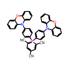 N#CC1=CC(C#N)=P(c2ccc(N3c4ccccc4Oc4ccccc43)cc2)(c2ccc(N3c4ccccc4Oc4ccccc43)cc2)C(C#N)=C1